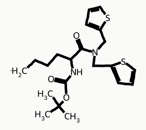 [CH2]CCCC(NC(=O)OC(C)(C)C)C(=O)N(Cc1cccs1)Cc1cccs1